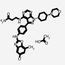 CC(=O)O.Cc1cc(Cl)cc2nc(Nc3ccc(-c4nn([C@H]5CC[C@H](N6CCOCC6)CC5)c5ncnc(NCCC(N)=O)c45)cc3)oc12